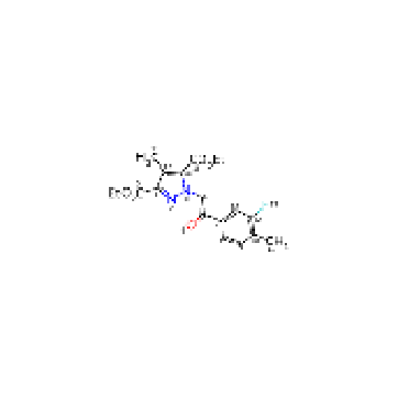 CCOC(=O)c1nn(CC(=O)c2ccc(C)c(F)c2)c(C(=O)OCC)c1C